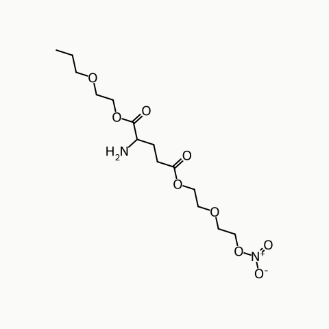 CCCOCCOC(=O)C(N)CCC(=O)OCCOCCO[N+](=O)[O-]